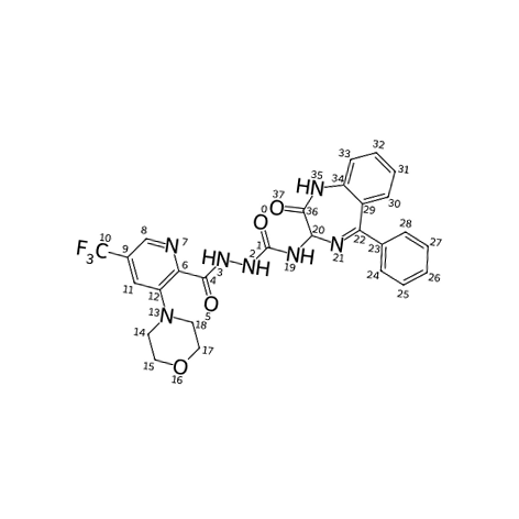 O=C(NNC(=O)c1ncc(C(F)(F)F)cc1N1CCOCC1)NC1N=C(c2ccccc2)c2ccccc2NC1=O